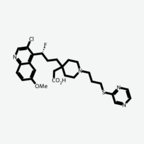 COc1ccc2ncc(Cl)c([C@H](F)CCC3(CC(=O)O)CCN(CCCSc4cnccn4)CC3)c2c1